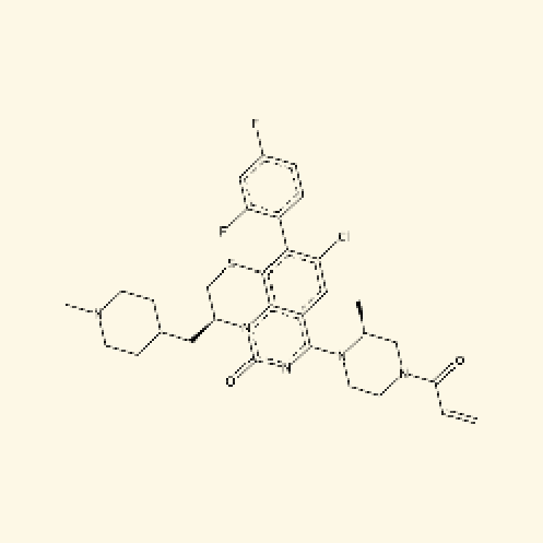 C=CC(=O)N1CCN(c2nc(=O)n3c4c(c(-c5ccc(F)cc5F)c(Cl)cc24)SC[C@@H]3CC2CCN(C)CC2)[C@@H](C)C1